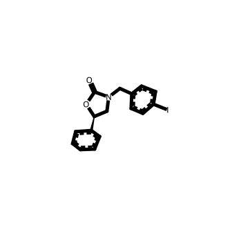 O=C1O[C@H](c2ccccc2)CN1Cc1ccc(I)cc1